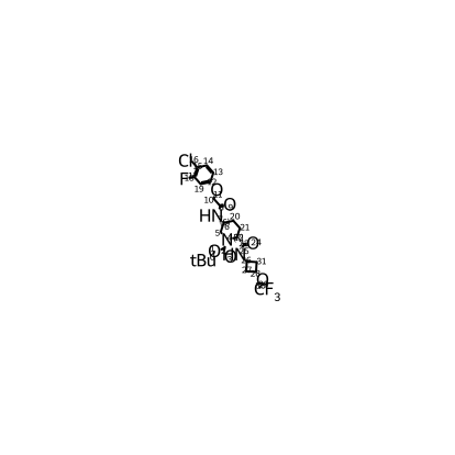 CC(C)(C)OC(=O)N1C[C@@H](NC(=O)COc2ccc(Cl)c(F)c2)CC[C@@H]1C(=O)NC1CC(OC(F)(F)F)C1